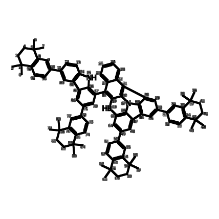 CC1(C)CCC(C)(C)c2cc(-c3ccc4[nH]c5c(-c6c7c8c(c9ccccc69)c6cc(-c9ccc%10c(c9)C(C)(C)CCC%10(C)C)cc9c%10cc(-c%11ccc%12c(c%11)C(C)(C)CCC%12(C)C)cc(c%10n8c96)B7)cc(-c6ccc7c(c6)C(C)(C)CCC7(C)C)cc5c4c3)ccc21